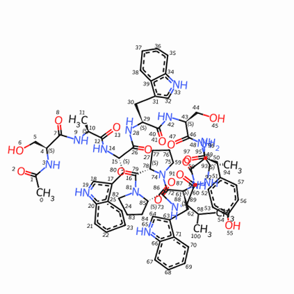 CC(=O)N[C@@H](CO)C(=O)N[C@@H](C)C(=O)N[C@@H](Cc1c[nH]c2ccccc12)C(=O)N[C@@H](Cc1c[nH]c2ccccc12)C(=O)N[C@@H](CO)C(=O)N[C@@H](Cc1ccc(O)cc1)C(=O)N[C@@H](Cc1c[nH]c2ccccc12)C(=O)N1CCC[C@H]1C(=O)N1CCC[C@H]1C(=O)N[C@H](C(=O)N[C@@H](C)C(N)=O)C(C)C